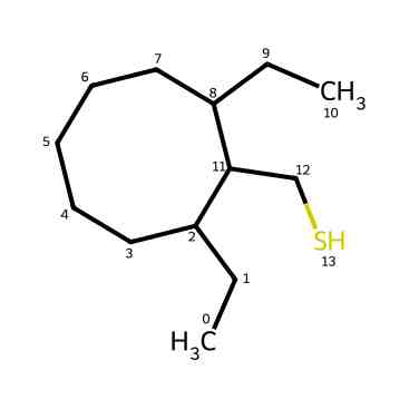 CCC1CCCCCC(CC)C1CS